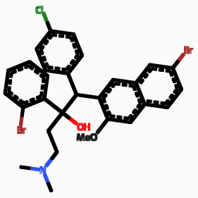 COc1cc2ccc(Br)cc2cc1C(c1ccc(Cl)cc1)C(O)(CCN(C)C)c1ccccc1Br